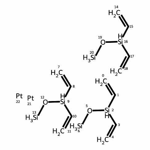 C=C[SiH](C=C)O[SiH3].C=C[SiH](C=C)O[SiH3].C=C[SiH](C=C)O[SiH3].[Pt].[Pt]